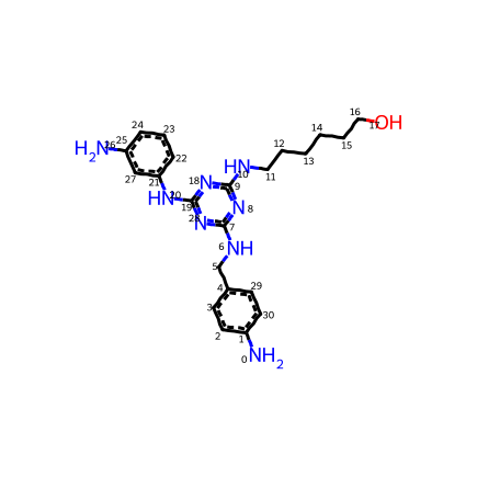 Nc1ccc(CNc2nc(NCCCCCCO)nc(Nc3cccc(N)c3)n2)cc1